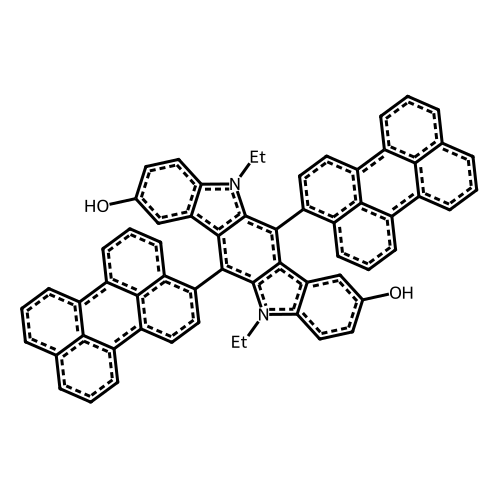 CCn1c2ccc(O)cc2c2c(-c3ccc4c5cccc6cccc(c7cccc3c74)c65)c3c(c(-c4ccc5c6cccc7cccc(c8cccc4c85)c76)c21)c1cc(O)ccc1n3CC